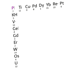 [Cu].[Dy].[Er].[Gd].[Ge].[KH].[Os].[P].[Pd].[Pt].[Re].[Ti].[U].[V].[W].[Yb]